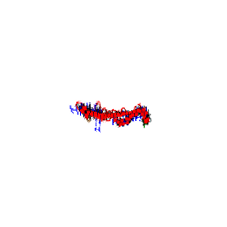 N#Cc1ccc(CN2CCC(NC(=O)c3ncc(C(=O)N4CCN(Cc5ccc(F)cc5)CC4)cc3CCCNC(=O)CCOCCOCCOCCOCCNC(=O)CCCC[C@@H]3SCC4NC(=O)N[C@@H]43)CC2)cc1